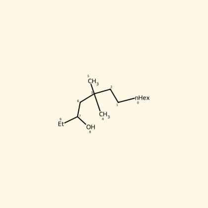 CCCCCCCCC(C)(C)CC(O)CC